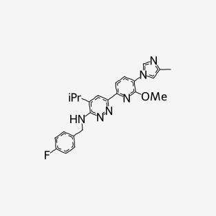 COc1nc(-c2cc(C(C)C)c(NCc3ccc(F)cc3)nn2)ccc1-n1cnc(C)c1